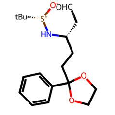 CC(C)(C)[S@+]([O-])N[C@H](CC=O)CCC1(c2ccccc2)OCCO1